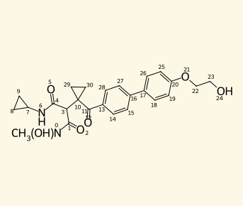 CN(O)C(=O)C(C(=O)NC1CC1)C1(C(=O)c2ccc(-c3ccc(OCCO)cc3)cc2)CC1